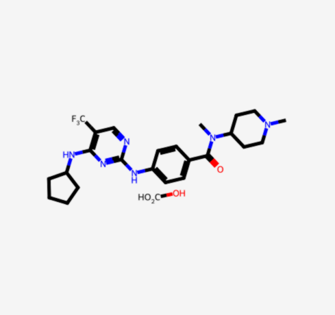 CN1CCC(N(C)C(=O)c2ccc(Nc3ncc(C(F)(F)F)c(NC4CCCC4)n3)cc2)CC1.O=C(O)O